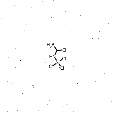 BC(Cl)N[Si](Cl)(Cl)Cl